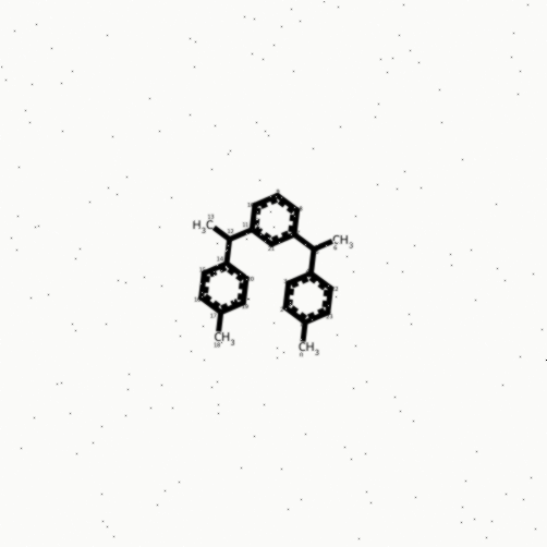 Cc1ccc(C(C)c2cccc(C(C)c3ccc(C)cc3)c2)cc1